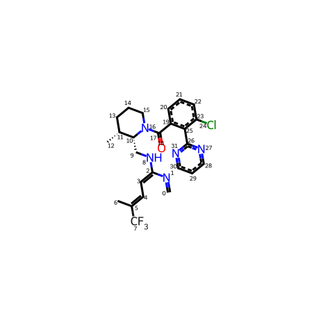 C=N/C(=C\C=C(/C)C(F)(F)F)NC[C@@H]1[C@H](C)CCCN1C(=O)c1cccc(Cl)c1-c1ncccn1